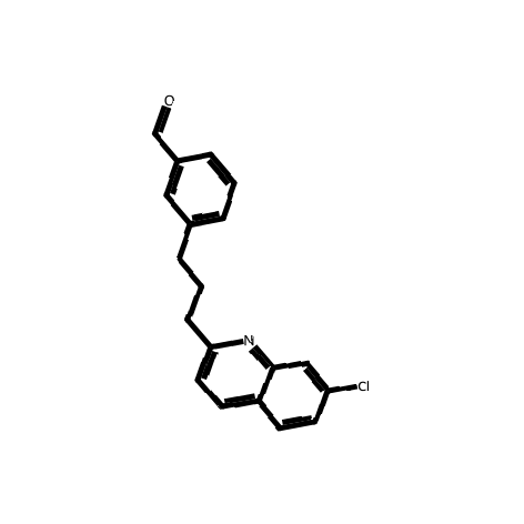 O=Cc1cccc(CCCc2ccc3ccc(Cl)cc3n2)c1